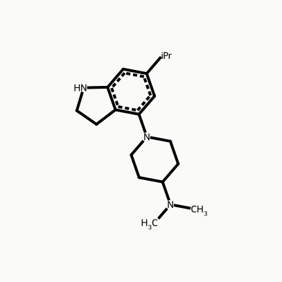 CC(C)c1cc2c(c(N3CCC(N(C)C)CC3)c1)CCN2